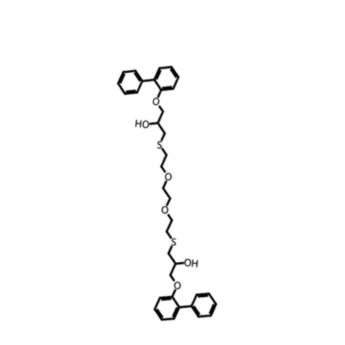 OC(COc1ccccc1-c1ccccc1)CSCCOCCOCCSCC(O)COc1ccccc1-c1ccccc1